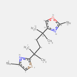 CC(C)(C)c1csc(C(C)(C)CCC(C)(C)c2coc(C(C)(C)C)n2)n1